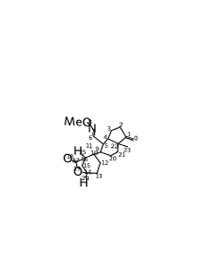 C=C1CCC2C(C=NOC)C([C@@]3(C)CC[C@H]4C[C@@H]3C(=O)O4)CCC12C